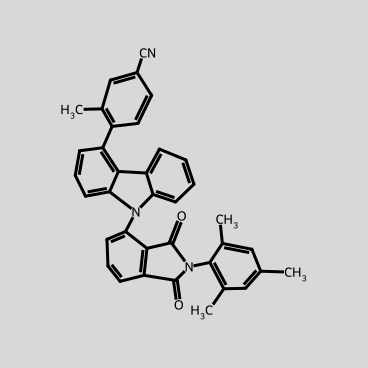 Cc1cc(C)c(N2C(=O)c3cccc(-n4c5ccccc5c5c(-c6ccc(C#N)cc6C)cccc54)c3C2=O)c(C)c1